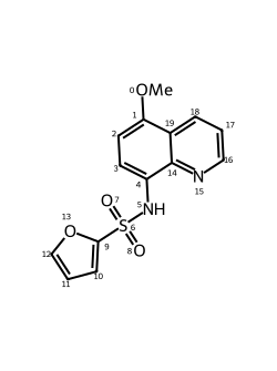 COc1ccc(NS(=O)(=O)c2ccco2)c2ncccc12